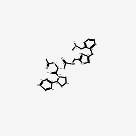 CC(=O)O[C@H](CC(=O)NCc1nc(Cc2ccccc2CN(C)C)cs1)C(=O)N1CCCC1c1ccccc1